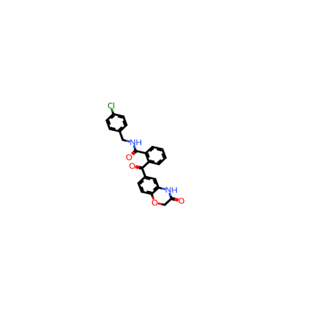 O=C1COc2ccc(C(=O)c3ccccc3C(=O)NCc3ccc(Cl)cc3)cc2N1